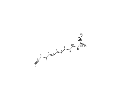 C#CCC/C=C/C=C/CCCCC(=C)OC